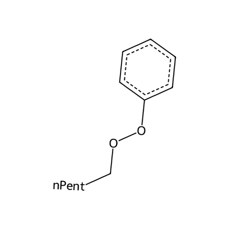 CCCCCCOOc1ccccc1